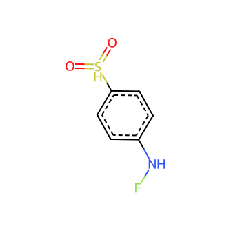 O=[SH](=O)c1ccc(NF)cc1